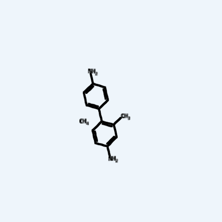 C.Cc1cc(N)ccc1-c1ccc(N)cc1